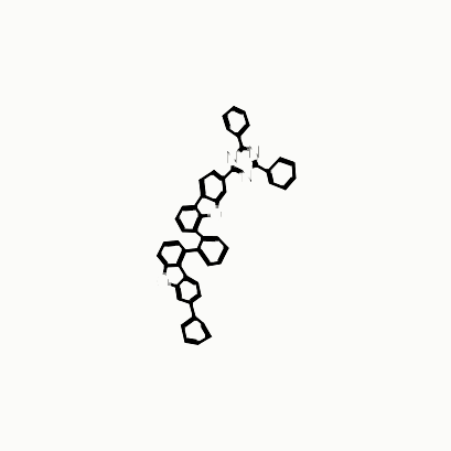 c1ccc(-c2ccc3c(c2)oc2cccc(-c4ccccc4-c4cccc5c4oc4cc(-c6nc(-c7ccccc7)nc(-c7ccccc7)n6)ccc45)c23)cc1